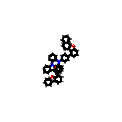 c1ccc(-n2c3ccccc3c3ccccc32)c(N(c2ccc(-c3cccc4c3oc3ccccc34)cc2)c2ccc(-c3cccc4oc5c6ccccc6ccc5c34)cc2)c1